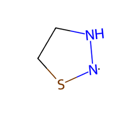 C1CS[N]N1